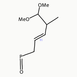 COC(OC)C(C)/C=C/CP=O